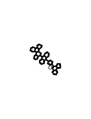 c1ccc2c(-c3cc4c5ccccc5c5ccccc5c4c4ccccc34)c3ccccc3c(-c3ccc4c(c3)oc3c5ccccc5c5ccccc5c43)c2c1